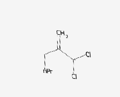 [CH2]CCCC(=C)[C](Cl)Cl